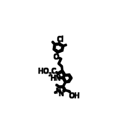 Cc1cc(OCCCc2c(C(=O)O)[nH]c3c(-c4c(CO)nn(C)c4C)cccc23)cc(C)c1Cl